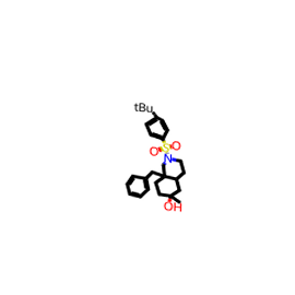 CC1(O)CCC2(Cc3ccccc3)CN(S(=O)(=O)c3ccc(C(C)(C)C)cc3)CCC2C1